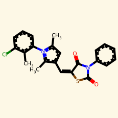 Cc1c(Cl)cccc1-n1c(C)cc(C=C2SC(=O)N(c3ccccc3)C2=O)c1C